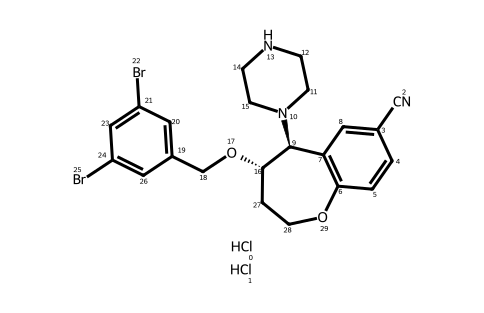 Cl.Cl.N#Cc1ccc2c(c1)[C@H](N1CCNCC1)[C@@H](OCc1cc(Br)cc(Br)c1)CCO2